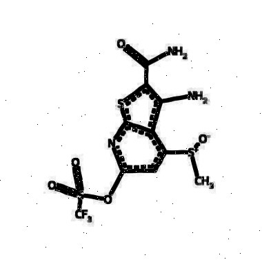 C[S+]([O-])c1cc(OS(=O)(=O)C(F)(F)F)nc2sc(C(N)=O)c(N)c12